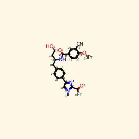 CCC(=O)c1nc(-c2ccc(CC(CCO)NC(=O)c3ccc(OC(C)C)c(C#N)c3)cc2)cn1C